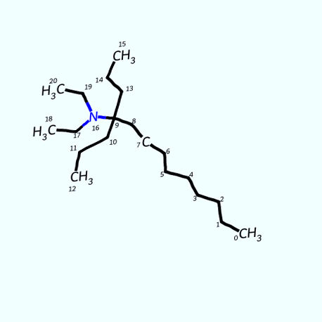 CCCCCCCCCC(CCC)(CCC)N(CC)CC